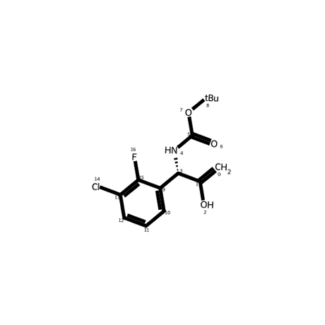 C=C(O)[C@@H](NC(=O)OC(C)(C)C)c1cccc(Cl)c1F